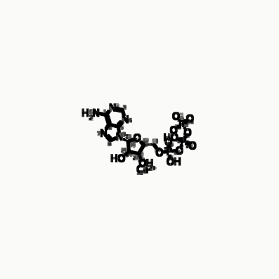 Nc1ncnc2c1ncn2[C@@H]1O[C@H](COP(=O)(O)OP(=O)(O)OP(=O)([O-])[O-])[C@@H](O)[C@H]1O.[Ca+2]